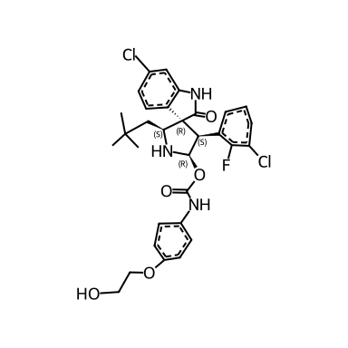 CC(C)(C)C[C@@H]1N[C@H](OC(=O)Nc2ccc(OCCO)cc2)[C@H](c2cccc(Cl)c2F)[C@]12C(=O)Nc1cc(Cl)ccc12